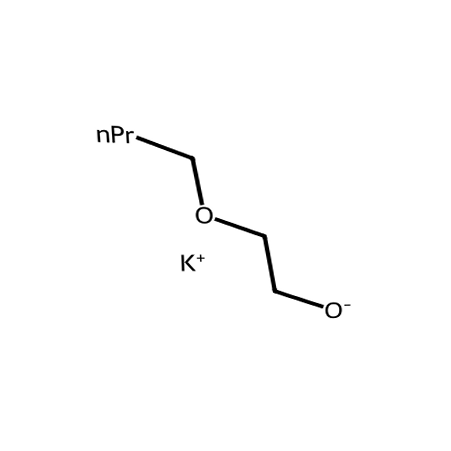 CCCCOCC[O-].[K+]